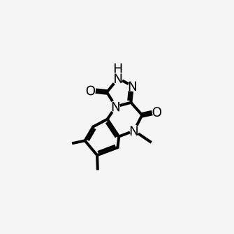 Cc1cc2c(cc1C)n1c(=O)[nH]nc1c(=O)n2C